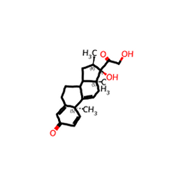 C[C@@H]1CC2C3CCC4=CC(=O)C=C[C@]4(C)C3=CC[C@]2(C)[C@@]1(O)C(=O)CO